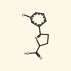 O=C(O)C1CCC(c2cccc(Cl)c2)=N1